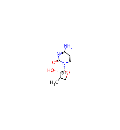 CC1CO[C@@H](n2ccc(N)nc2=O)[C@H]1O